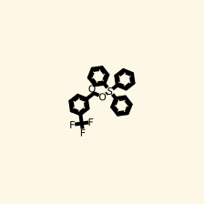 O=C(OS(c1ccccc1)(c1ccccc1)c1ccccc1)c1cccc(C(F)(F)F)c1